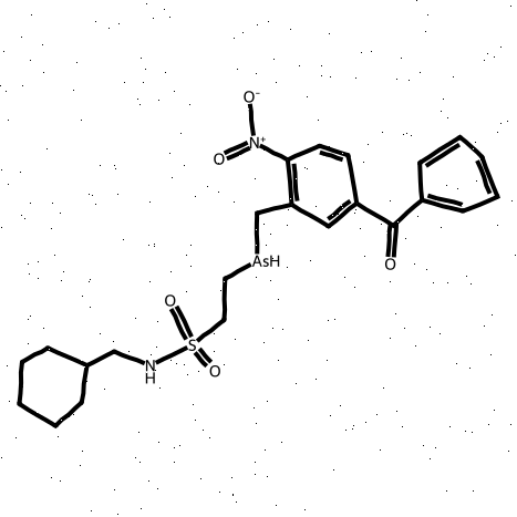 O=C(c1ccccc1)c1ccc([N+](=O)[O-])c(C[AsH]CCS(=O)(=O)NCC2CCCCC2)c1